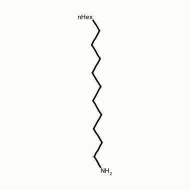 [CH2]CCCCCCCCCCCCCC[CH]N